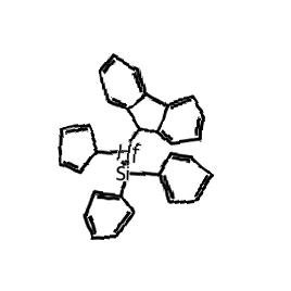 C1=C[CH]([Hf]([CH]2c3ccccc3-c3ccccc32)=[Si](c2ccccc2)c2ccccc2)C=C1